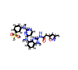 Cc1cc(CC(=O)Nc2nc3c(N(C)c4ccnc(N(C)c5cccc(S(C)(=O)=O)c5)n4)cccc3n2C)on1